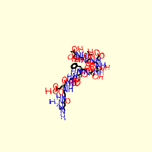 CC(C)C[C@H](NC(=O)[C@H](CCC(=O)O)NC(=O)[C@H](CO)NC(=O)[C@H](CO)NC(=O)[C@H](Cc1ccccc1)NC(=O)[C@H](CO)NC(=O)CNC(=O)[C@H](CCC(=O)O)NC(=O)CNC(=O)[C@@H](N)Cc1c[nH]cn1)C(=O)N[C@@H](CO)C(=O)N[C@H](C(=O)O)[C@@H](C)O